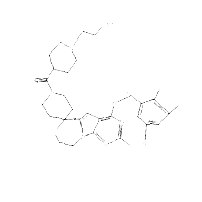 COCCN1CCC(C(=O)N2CCC3(CC2)OCCn2c3cc3c(N[C@H](C)c4cc(N)cc(C(F)(F)F)c4F)nc(C)nc32)CC1